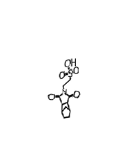 O=C1C2C3CCC(C3)C2C(=O)N1CCS(=O)(=O)O